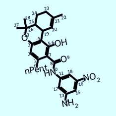 CCCCCc1cc2c(c(O)c1C(=O)Nc1cc(N)cc([N+](=O)[O-])c1)C1C=C(C)CCC1C(C)(C)O2